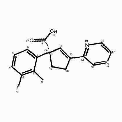 Cc1c(F)cccc1[C@@]1(C(=O)O)C=C(c2cnccn2)CC1